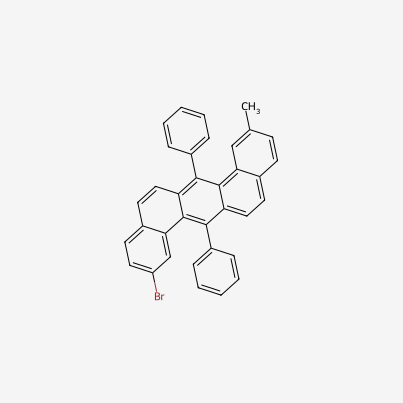 Cc1ccc2ccc3c(-c4ccccc4)c4c(ccc5ccc(Br)cc54)c(-c4ccccc4)c3c2c1